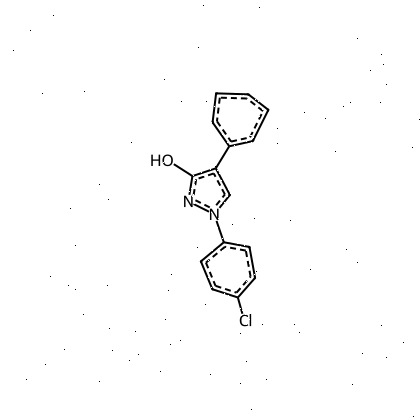 Oc1nn(-c2ccc(Cl)cc2)cc1-c1ccccc1